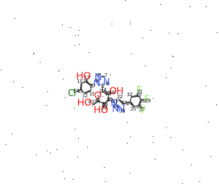 OC[C@H]1O[C@@H](c2ncnn2-c2ccc(Cl)cc2O)[C@H](O)[C@@H](n2cc(-c3cc(F)c(F)c(F)c3)nn2)[C@H]1O